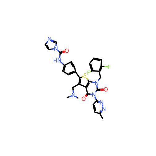 Cc1ccc(-n2c(=O)c3c(CN(C)C)c(-c4ccc(NC(=O)n5ccnc5)cc4)sc3n(Cc3c(F)cccc3F)c2=O)nn1